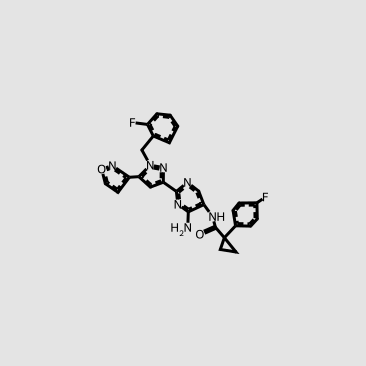 Nc1nc(-c2cc(-c3ccon3)n(Cc3ccccc3F)n2)ncc1NC(=O)C1(c2ccc(F)cc2)CC1